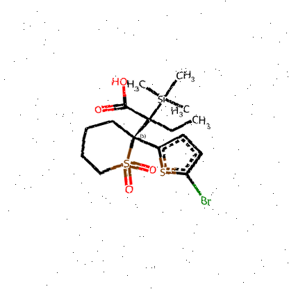 CCC(C(=O)O)([C@]1(c2ccc(Br)s2)CCCCS1(=O)=O)[Si](C)(C)C